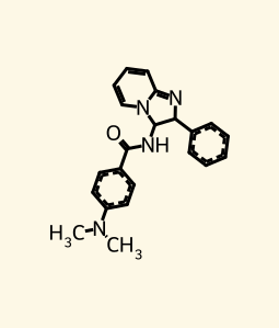 CN(C)c1ccc(C(=O)NC2C(c3ccccc3)N=C3C=CC=CN32)cc1